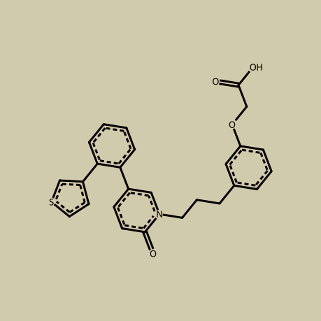 O=C(O)COc1cccc(CCCn2cc(-c3ccccc3-c3ccsc3)ccc2=O)c1